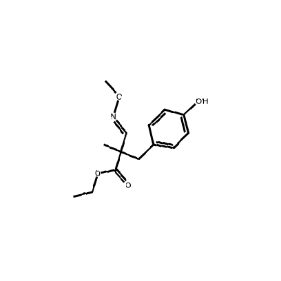 CCOC(=O)C(C)(C=NOC)Cc1ccc(O)cc1